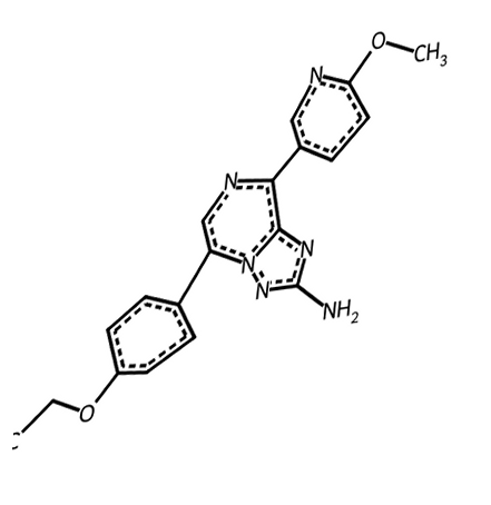 CCOc1ccc(-c2cnc(-c3ccc(OC)nc3)c3nc(N)nn23)cc1